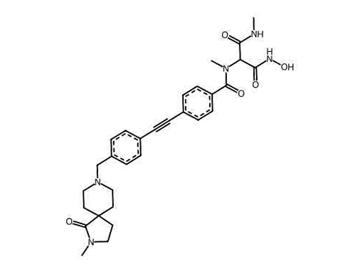 CNC(=O)C(C(=O)NO)N(C)C(=O)c1ccc(C#Cc2ccc(CN3CCC4(CC3)CCN(C)C4=O)cc2)cc1